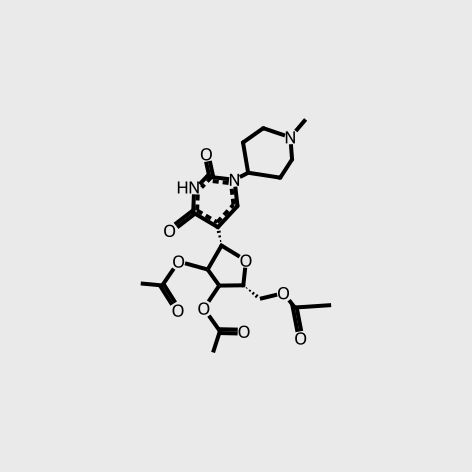 CC(=O)OC[C@H]1O[C@@H](c2cn(C3CCN(C)CC3)c(=O)[nH]c2=O)C(OC(C)=O)C1OC(C)=O